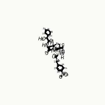 O=C(NC1(C(=O)O)CS[C@@H]2C(NC(=O)C(O)c3ccccc3)C(=O)N2C1)OCc1ccc([N+](=O)[O-])cc1